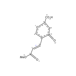 COC(=O)/C=C/c1coc(C(=O)O)cc1=O